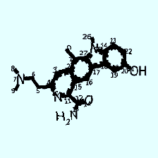 Cc1c2cc(CCN(C)C)nc(C(N)=O)c2cc2c3cc(O)ccc3n(C)c12